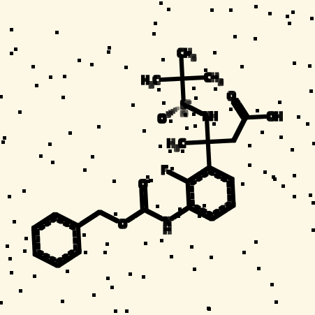 CC(CC(=O)O)(N[S@+]([O-])C(C)(C)C)c1cccc(NC(=O)OCc2ccccc2)c1F